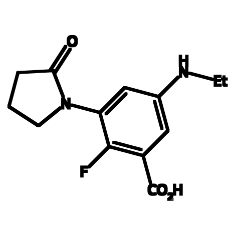 CCNc1cc(C(=O)O)c(F)c(N2CCCC2=O)c1